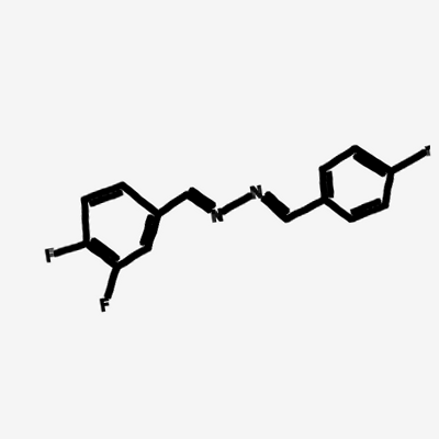 CCCc1ccc(C=NN=Cc2ccc(F)c(F)c2)cc1